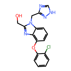 OCc1nc2c(Oc3ccccc3Cl)cccc2n1Cc1nc[nH]n1